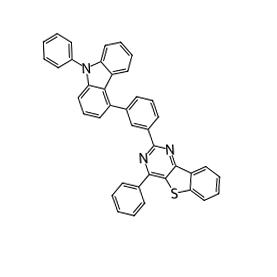 c1ccc(-c2nc(-c3cccc(-c4cccc5c4c4ccccc4n5-c4ccccc4)c3)nc3c2sc2ccccc23)cc1